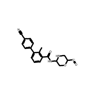 Cc1c(C(=O)NC2COC([S+]=O)CN2)cccc1-c1ccc(C#N)cc1